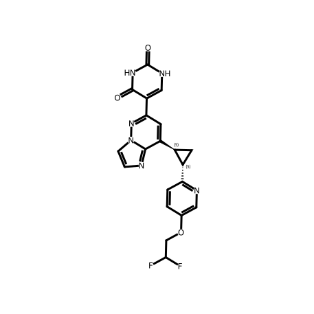 O=c1[nH]cc(-c2cc([C@H]3C[C@@H]3c3ccc(OCC(F)F)cn3)c3nccn3n2)c(=O)[nH]1